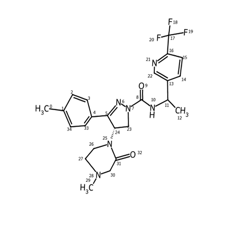 Cc1ccc(C2=NN(C(=O)NC(C)c3ccc(C(F)(F)F)nc3)C[C@@H]2N2CCN(C)CC2=O)cc1